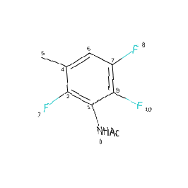 CC(=O)Nc1c(F)c(C)cc(F)c1F